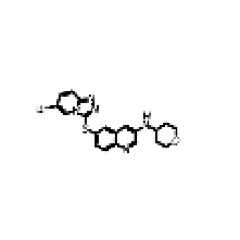 Brc1ccc2nnc(Sc3ccc4ncc(NC5CCOCC5)cc4c3)n2c1